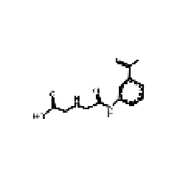 CC(=O)c1cccc(NC(=O)CNCC(=O)O)c1